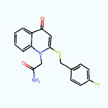 NC(=O)Cn1c(SCc2ccc(F)cc2)cc(=O)c2ccccc21